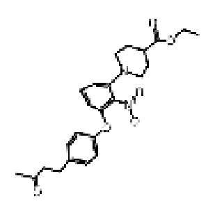 CCOC(=O)C1CCN(c2cccc(Oc3ccc(CCC(C)=O)cc3)c2[N+](=O)[O-])CC1